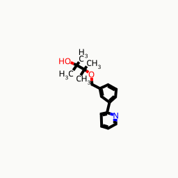 CC(C)(O)C(C)(C)OCc1cccc(-c2ccccn2)c1